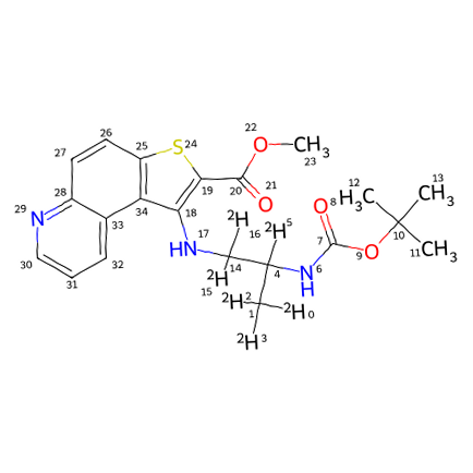 [2H]C([2H])([2H])C([2H])(NC(=O)OC(C)(C)C)C([2H])([2H])Nc1c(C(=O)OC)sc2ccc3ncccc3c12